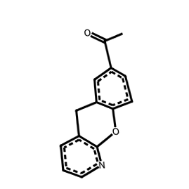 CC(=O)c1ccc2c(c1)Cc1cccnc1O2